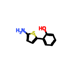 Nc1ccc(-c2ccccc2O)s1